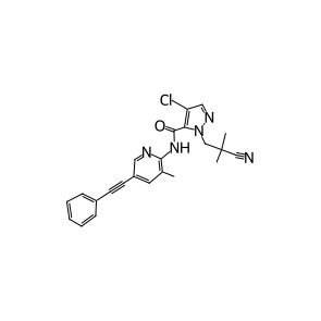 Cc1cc(C#Cc2ccccc2)cnc1NC(=O)c1c(Cl)cnn1CC(C)(C)C#N